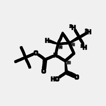 [2H]C([2H])([2H])[C@@]12C[C@@H](C(=O)O)N(C(=O)OC(C)(C)C)[C@@H]1C2